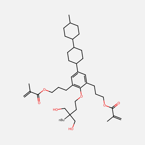 C=C(C)C(=O)OCCCc1cc(C2CCC(C3CCC(C)CC3)CC2)cc(CCCOC(=O)C(=C)C)c1OCCC(CO)(CO)CCCC